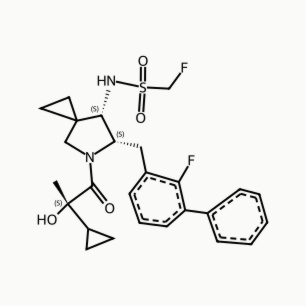 C[C@@](O)(C(=O)N1CC2(CC2)[C@H](NS(=O)(=O)CF)[C@@H]1Cc1cccc(-c2ccccc2)c1F)C1CC1